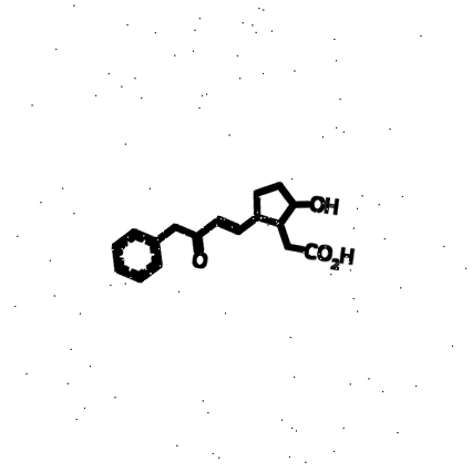 O=C(O)CC1C(O)CCC1C=CC(=O)Cc1ccccc1